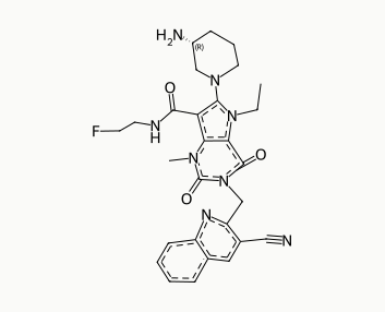 CCn1c(N2CCC[C@@H](N)C2)c(C(=O)NCCF)c2c1c(=O)n(Cc1nc3ccccc3cc1C#N)c(=O)n2C